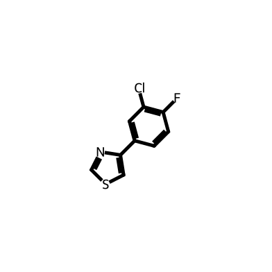 Fc1ccc(-c2cscn2)cc1Cl